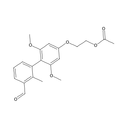 COc1cc(OCCOC(C)=O)cc(OC)c1-c1cccc(C=O)c1C